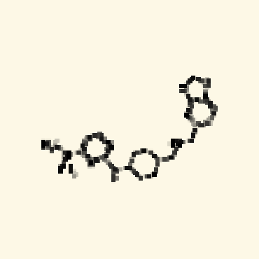 CN(C)c1ccnc(NC2CCC(CNCc3ccc4c(c3)OCO4)CC2)n1